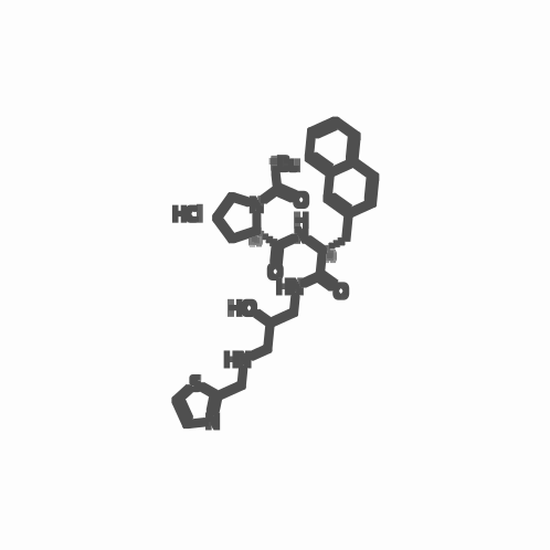 CC(C)(C)C(=O)N1CCC[C@H]1C(=O)N[C@H](Cc1ccc2ccccc2c1)C(=O)NCC(O)CNCc1nccs1.Cl